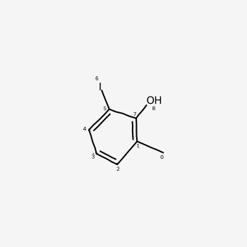 Cc1c[c]cc(I)c1O